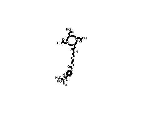 CC(C)(O)NC(=O)c1ccc(OC(=O)OCCOCCNC(=O)CN2CCN(CC(=O)O)CCN(CC(=O)O)CCN(CC(=O)O)CC2)cc1